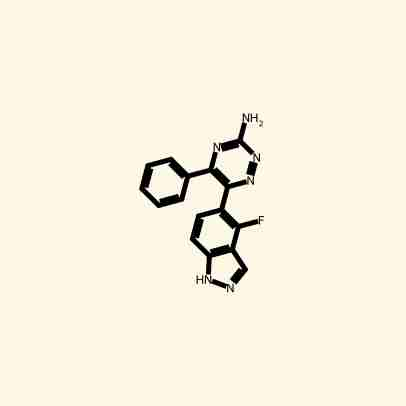 Nc1nnc(-c2ccc3[nH]ncc3c2F)c(-c2ccccc2)n1